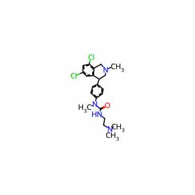 CN(C)CCNC(=O)N(C)c1ccc(C2CN(C)Cc3c(Cl)cc(Cl)cc32)cc1